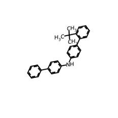 CC(C)(C)c1ccccc1-c1ccc(Nc2ccc(-c3ccccc3)cc2)cc1